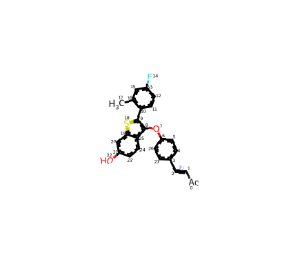 CC(=O)/C=C/c1ccc(Oc2c(-c3ccc(F)cc3C)sc3cc(O)ccc23)cc1